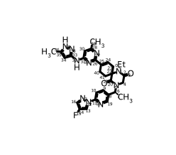 CCN1C(=O)CN([C@@H](C)c2ccc(-n3cc(F)cn3)nc2)C(=O)C12CC=C(c1nc(C)cc(Nc3cc(C)[nH]n3)n1)CC2